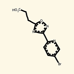 O=C(O)CCc1nc(-c2ccc(Br)cn2)no1